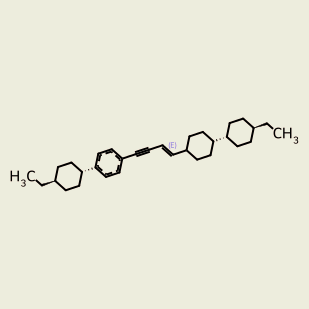 CC[C@H]1CC[C@H](c2ccc(C#C/C=C/C3CCC([C@H]4CC[C@H](CC)CC4)CC3)cc2)CC1